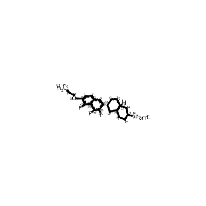 C=CCOc1ccc2cc([C@@H]3CC[C@@H]4CC(CCCCC)CCC4C3)c(F)c(F)c2c1F